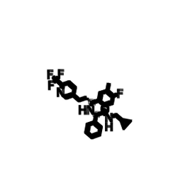 Cc1cc([C@@H](CCc2ccc(C(F)(F)F)nc2)N[C@H](C(=O)NCC2CC2)c2ccccc2)ccc1F